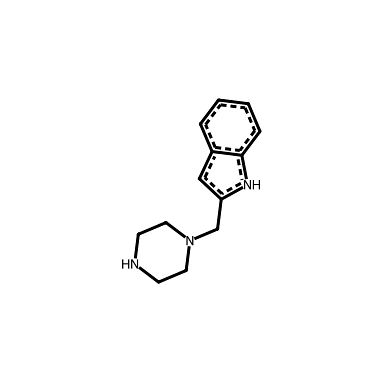 c1ccc2[nH]c(CN3CCNCC3)cc2c1